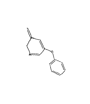 S=C1C=C(Oc2ccccc2)C=NC1